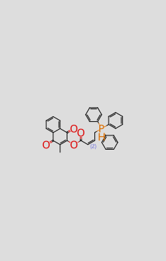 CC1=C(OC(=O)/C=C\C[PH](c2ccccc2)(c2ccccc2)c2ccccc2)C(=O)c2ccccc2C1=O